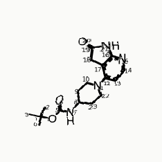 CC(C)(C)OC(=O)NC1CCN(c2ccnc3c2CC(=O)N3)CC1